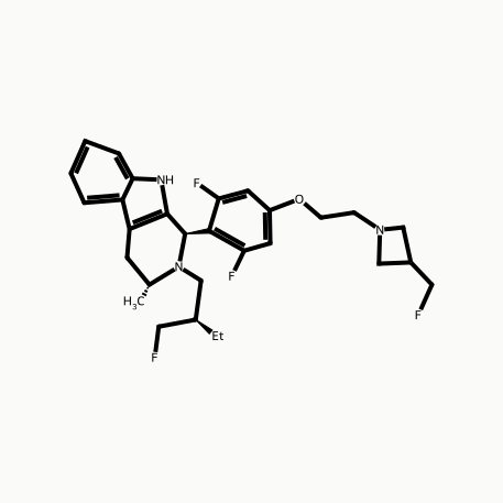 CC[C@@H](CF)CN1[C@H](c2c(F)cc(OCCN3CC(CF)C3)cc2F)c2[nH]c3ccccc3c2C[C@H]1C